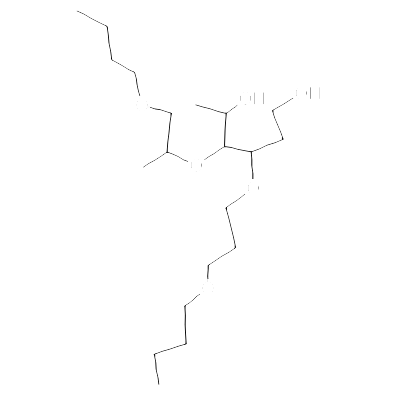 CCCCOCCCOC(CCO)C(OC(C)COCCCC)C(C)O